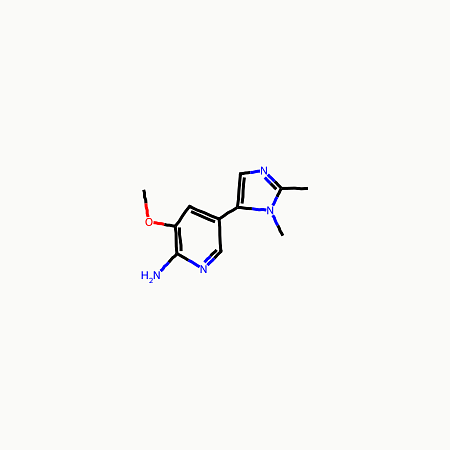 COc1cc(-c2cnc(C)n2C)cnc1N